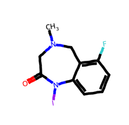 CN1CC(=O)N(I)c2cccc(F)c2C1